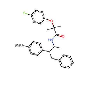 COc1ccc(C(Cc2ccccc2)C(C)NC(=O)C(C)(C)Oc2ccc(F)cc2)cc1